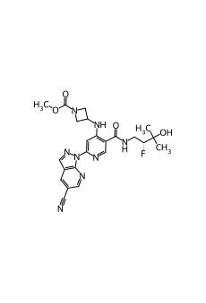 COC(=O)N1CC(Nc2cc(-n3ncc4cc(C#N)cnc43)ncc2C(=O)NC[C@@H](F)C(C)(C)O)C1